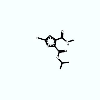 CNC(=O)c1nc(Cl)sc1C(=O)OC(C)C